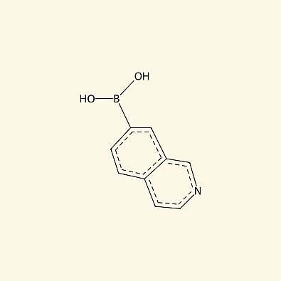 OB(O)c1ccc2ccncc2c1